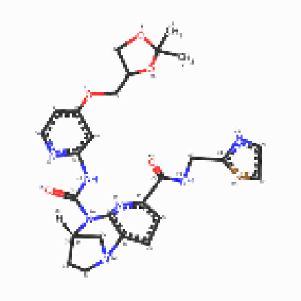 CC1(C)OCC(COc2ccnc(NC(=O)N3c4nc(C(=O)NCc5nccs5)ccc4N4CC[C@H]3C4)c2)O1